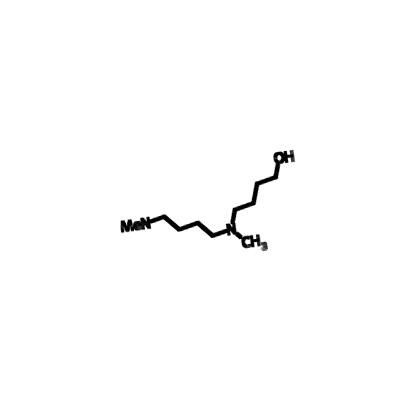 CNCCCCN(C)CCCCO